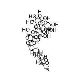 CC(=O)O[C@H]1[C@H](O[C@H]2CC[C@@]3(C)C(=CC[C@H]4[C@@H]5C[C@@H]6O[C@]7(CC[C@H](C)CO7)[C@@H](C)[C@@H]6[C@@]5(C)CC[C@@H]43)C2)O[C@H](CO)[C@H](O[C@@H]2O[C@H](CO)[C@@H](O)[C@H](O[C@@H]3OC[C@@H](O)[C@H](O)[C@H]3O)[C@H]2O[C@@H]2O[C@H](CO)[C@@H](O)[C@H](O)[C@H]2O)[C@@H]1O